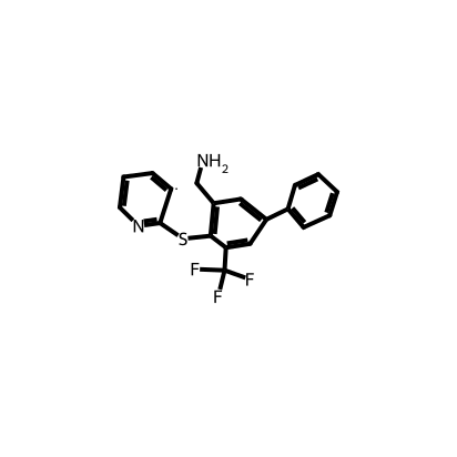 NCc1cc(-c2ccccc2)cc(C(F)(F)F)c1Sc1[c]cccn1